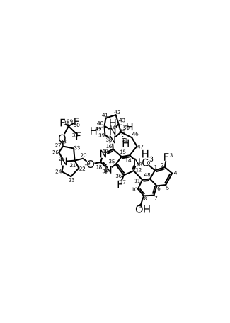 Cc1c(F)ccc2cc(O)cc(-c3nc4c5c(nc(OCC67CCCN6C[C@@H](OC(F)(F)F)C7)nc5c3F)N3C[C@H]5CC[C@H](N5)[C@H]3CC4)c12